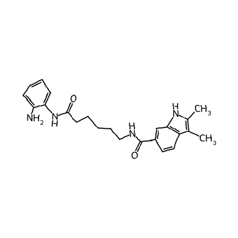 Cc1[nH]c2cc(C(=O)NCCCCCC(=O)Nc3ccccc3N)ccc2c1C